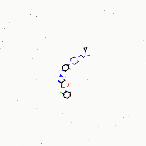 CN(CCN1CCN(c2ccc(Nc3ncc4c(n3)OCN(c3c(Cl)cccc3Cl)C4=O)cc2Cl)CC1)C1CC1